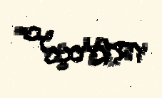 O=C(CN1CCN(C(=O)c2ccc(Nc3nccn4c(-c5cn(CC(F)F)nc5C(F)(F)F)cnc34)cc2Cl)CC1)C1CCNCC1